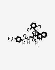 Cc1nc2ccccc2c(OCc2c(Cl)cccc2Cl)c1N(C)C(=O)CNC(=O)Nc1ccc(C(F)(F)F)cc1